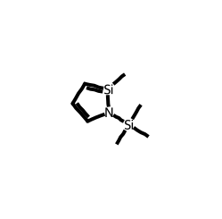 C[si]1cccn1[Si](C)(C)C